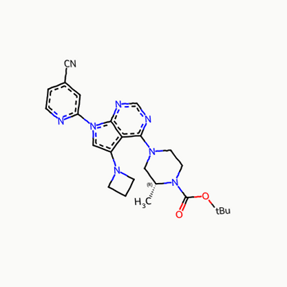 C[C@@H]1CN(c2ncnc3c2c(N2CCC2)cn3-c2cc(C#N)ccn2)CCN1C(=O)OC(C)(C)C